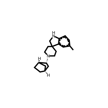 Cc1ccc2c(c1)C1(CCN([C@@H]3C[C@H]4CC[C@@H]3C4)CC1)CN2